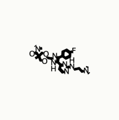 CN(C)CCCNc1nccc(-c2[nH]c(C3OCC(C)(C(=O)N(C)C)CO3)nc2-c2ccc(F)cc2)n1